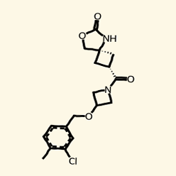 Cc1ccc(COC2CN(C(=O)[C@H]3C[C@@]4(COC(=O)N4)C3)C2)cc1Cl